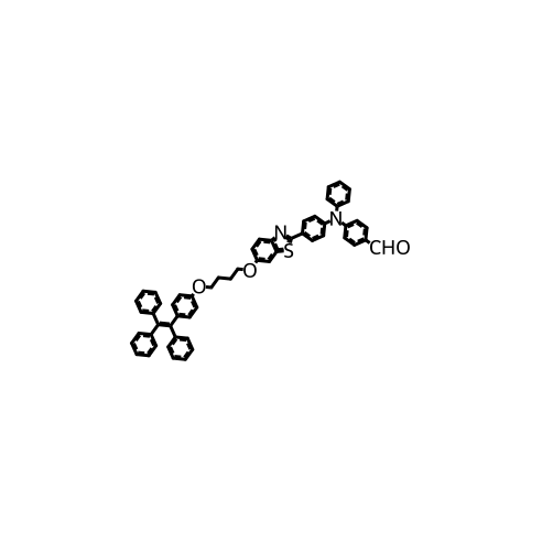 O=Cc1ccc(N(c2ccccc2)c2ccc(-c3nc4ccc(OCCCCOc5ccc(C(=C(c6ccccc6)c6ccccc6)c6ccccc6)cc5)cc4s3)cc2)cc1